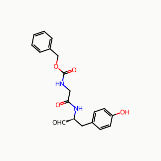 O=C[C@H](Cc1ccc(O)cc1)NC(=O)CNC(=O)OCc1ccccc1